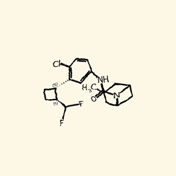 CC1CC2CC(C1)N2C(=O)Nc1ccc(Cl)c([C@H]2CC[C@@H]2C(F)F)c1